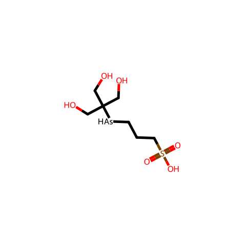 O=S(=O)(O)CCC[AsH]C(CO)(CO)CO